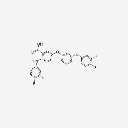 O=C(O)c1cc(Oc2cccc(Oc3ccc(F)c(F)c3)c2)ccc1Nc1ccc(F)c(F)c1